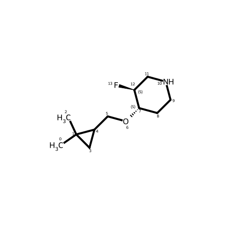 CC1(C)CC1CO[C@H]1CCNC[C@@H]1F